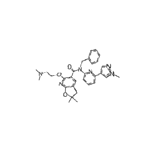 CN(C)CCOc1nc2c(cc1C(=O)N(Cc1ccccc1)c1cccc(-c3cnn(C)c3)n1)CC(C)(C)O2